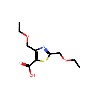 CCOCc1nc(COCC)c(C(=O)O)s1